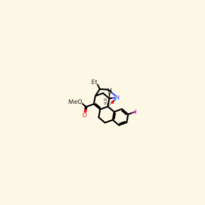 CCC1CN2CC[C@]34C(=C(C(=O)OC)C1C[C@H]23)CCc1ccc(I)cc14